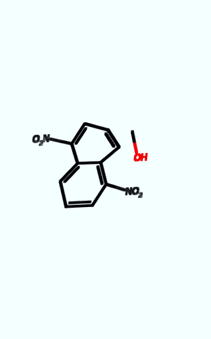 CO.O=[N+]([O-])c1cccc2c([N+](=O)[O-])cccc12